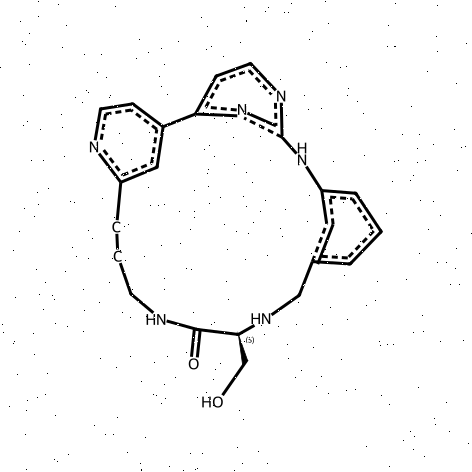 O=C1NCCCc2cc(ccn2)-c2ccnc(n2)Nc2cccc(c2)CN[C@H]1CO